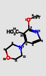 CCCOc1nccc(N2CCOCC2)c1C(=O)O